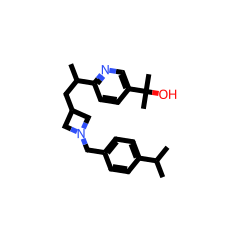 CC(C)c1ccc(CN2CC(CC(C)c3ccc(C(C)(C)O)cn3)C2)cc1